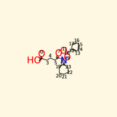 O=C(O)CCCC(=O)N(OC(=O)c1ccccc1)C1CCCCC1